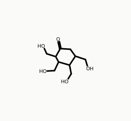 O=C1CC(CO)C(CO)C(CO)C1CO